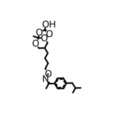 CC(=NOCCCCC1COC(C)(OC(=O)O)OC1)c1ccc(CC(C)C)cc1